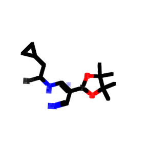 CCC(CC1CC1)N/C=C(\C=N)B1OC(C)(C)C(C)(C)O1